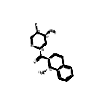 C[C@H]1c2ccccc2CCN1C(=O)[C@H]1C[C@H](N)[C@H](F)CO1